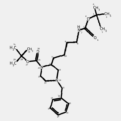 CC(C)(C)OC(=O)NCCCCC1CN(Cc2ccccc2)CCN1C(=O)OC(C)(C)C